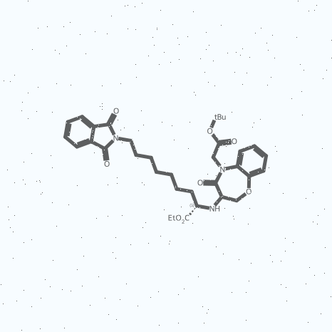 CCOC(=O)[C@H](CCCCCCCN1C(=O)c2ccccc2C1=O)NC1COc2ccccc2N(CC(=O)OC(C)(C)C)C1=O